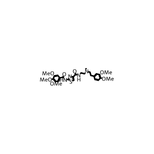 COc1ccc(CCN(C)CCNC(=O)c2csc(NC(=O)c3cc(OC)c(OC)cc3OC)n2)cc1OC